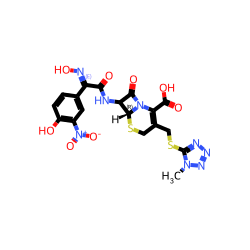 Cn1nnnc1SCC1=C(C(=O)O)N2C(=O)C(NC(=O)/C(=N/O)c3ccc(O)c([N+](=O)[O-])c3)[C@H]2SC1